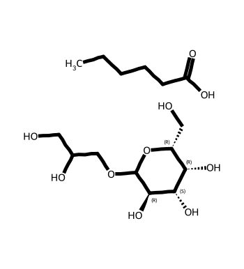 CCCCCC(=O)O.OCC(O)COC1O[C@H](CO)[C@H](O)[C@H](O)[C@H]1O